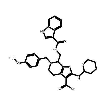 COc1ccc(CN2CCc3c(sc(NC4CCCCO4)c3C(=O)O)C2CNC(=O)c2c[nH]c3ccccc23)cc1